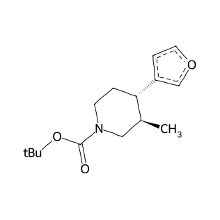 C[C@H]1CN(C(=O)OC(C)(C)C)CC[C@@H]1c1ccoc1